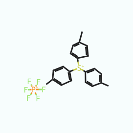 Cc1ccc([S+](c2ccc(C)cc2)c2ccc(C)cc2)cc1.F[P-](F)(F)(F)(F)F